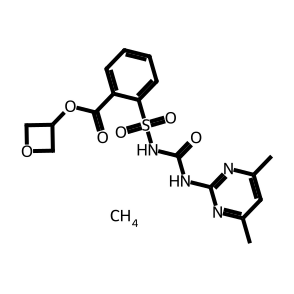 C.Cc1cc(C)nc(NC(=O)NS(=O)(=O)c2ccccc2C(=O)OC2COC2)n1